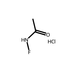 CC(=O)NF.Cl